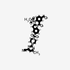 Cc1cc(C#N)nc(N2CCN(S(=O)(=O)c3ccc4c(c3)CCN4C(=O)c3cc(C=O)ccc3NS(C)(=O)=O)CC2)n1